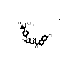 CN(C)CC1(c2ccc(N3CC(CNC(=O)c4ccc5cc(Cl)ccc5c4)CC3=O)cc2)CC1